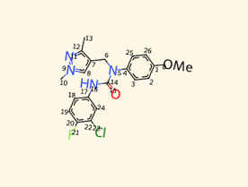 COc1ccc(N(Cc2cn(C)nc2C)C(=O)Nc2ccc(F)c(Cl)c2)cc1